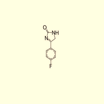 O=C1N=C(c2ccc(F)cc2)CN1